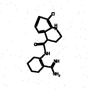 N=C(N)C1=C(NC(=O)C2CCNc3c(Cl)cccc32)CCCC1